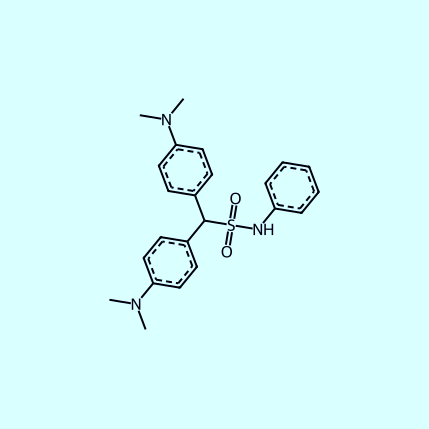 CN(C)c1ccc(C(c2ccc(N(C)C)cc2)S(=O)(=O)Nc2ccccc2)cc1